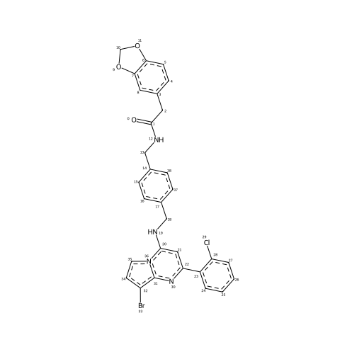 O=C(Cc1ccc2c(c1)OCO2)NCc1ccc(CNc2cc(-c3ccccc3Cl)nc3c(Br)ccn23)cc1